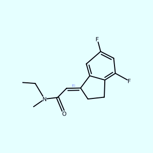 CCN(C)C(=O)/C=C1\CCc2c(F)cc(F)cc21